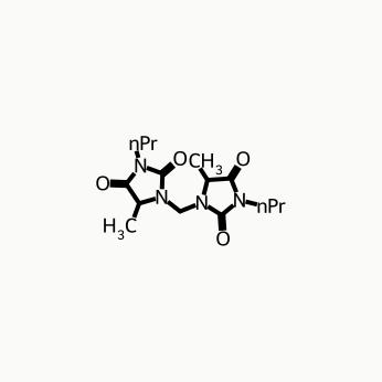 CCCN1C(=O)C(C)N(CN2C(=O)N(CCC)C(=O)C2C)C1=O